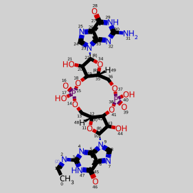 C/C=N\c1nc2c(ncn2[C@@H]2O[C@@H]3COP(=O)(O)OC4C(O)[C@H](n5cnc6c(=O)[nH]c(N)nc65)O[C@@H]4COP(=O)(O)OC3C2O)c(=O)[nH]1